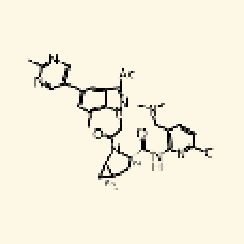 CC(=O)c1nn(CC(=O)N2C3C[C@]3(C)C[C@H]2C(=O)Nc2nc(Cl)ccc2CN(C)C)c2c(C)cc(-c3cnc(C)nc3)cc12